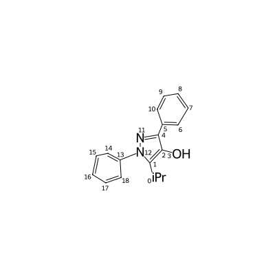 CC(C)c1c(O)c(-c2ccccc2)nn1-c1ccccc1